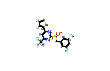 [O-][S+](Cc1cc(F)cc(F)c1)c1nc(-c2cccs2)cc(C(F)(F)F)n1